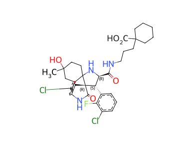 CC1(O)CCC2(CC1)N[C@@H](C(=O)NCCCC1(C(=O)O)CCCCC1)[C@H](c1cccc(Cl)c1F)[C@]21C(=O)Nc2cc(Cl)ccc21